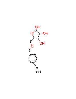 C#Cc1ccc(COC[C@H]2OC(O)[C@H](O)C2O)cc1